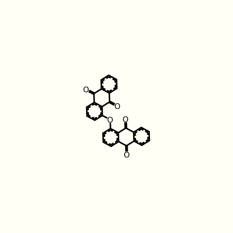 O=C1c2ccccc2C(=O)c2c(Oc3cccc4c3C(=O)c3ccccc3C4=O)cccc21